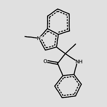 Cn1cc(C2(C)Nc3ccccc3C2=O)c2ccccc21